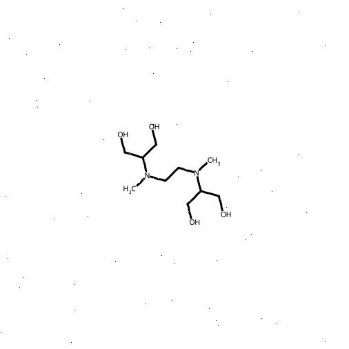 CN(CCN(C)C(CO)CO)C(CO)CO